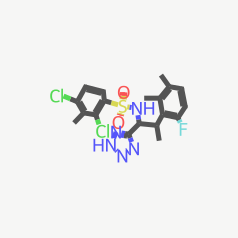 Cc1ccc(F)c(C(C)C(NS(=O)(=O)c2ccc(Cl)c(C)c2Cl)c2nn[nH]n2)c1C